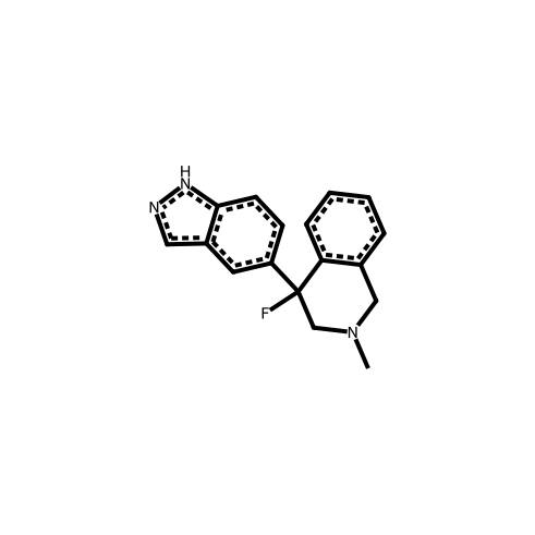 CN1Cc2ccccc2C(F)(c2ccc3[nH]ncc3c2)C1